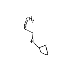 C=CC[N]C1CCC1